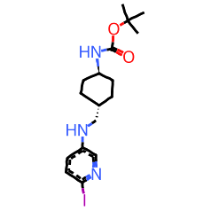 CC(C)(C)OC(=O)N[C@H]1CC[C@H](CNc2ccc(I)nc2)CC1